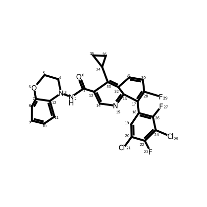 O=C(NN1CCOc2ccccc21)c1cnc2c(-c3cc(Cl)c(F)c(Cl)c3F)c(F)ccc2c1C1CC1